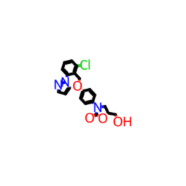 O=C1OC(CO)CN1c1ccc(OCc2c(Cl)cccc2-n2cccn2)cc1